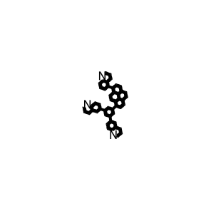 c1cnc2ccc(-c3cc(-c4ccc5ncccc5c4)cc(-c4ccc5ccc6ccc(-c7cccc8ncccc78)c7ccc4c5c67)c3)cc2c1